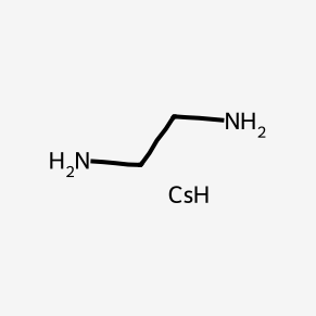 NCCN.[CsH]